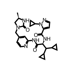 C[C@@H]1CN(Cc2ccnc(NC(=O)[C@@H](NC(=O)c3ccnn3C3CC3)C(C3CC3)C3CC3)c2)C(=O)N1